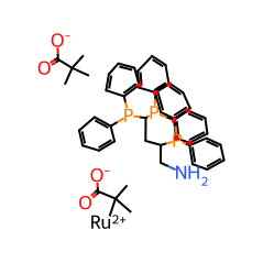 CC(C)(C)C(=O)[O-].CC(C)(C)C(=O)[O-].NCC(CC(P(c1ccccc1)c1ccccc1)P(c1ccccc1)c1ccccc1)P(c1ccccc1)c1ccccc1.[Ru+2]